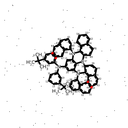 CC(C)(C)c1cccc(N(c2cccc(C(C)(C)C)c2)c2cc3c4c(c2)N(c2cccc5ccccc25)c2c(ccc5ccccc25)B4c2ccc4ccccc4c2N3c2cccc3ccccc23)c1